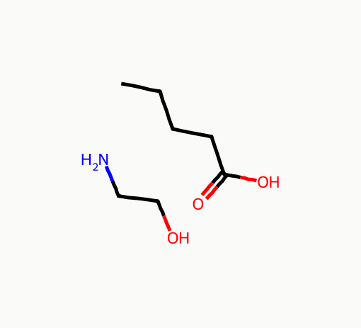 CCCCC(=O)O.NCCO